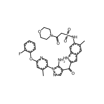 Cc1cc2cc(C(=O)c3cnn(-c4cnc(Oc5ccccc5F)cc4C)c3N)[nH]c2cc1NS(=O)(=O)CC(=O)N1CCOCC1